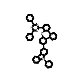 c1ccc(-c2nc(-c3ccccc3)nc(-c3cccc4c3Oc3ccc(-c5ccc6c(c5)c5ccccc5n6-c5ccccc5)cc3-c3ccccc3-4)n2)cc1